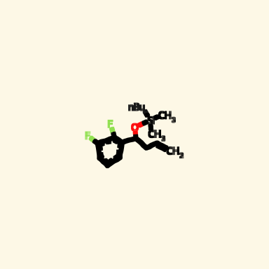 C=CCC(O[Si](C)(C)CCCC)c1cccc(F)c1F